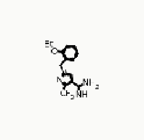 CCOc1ccccc1Cn1cc(C(=N)N)c(C(F)(F)F)n1